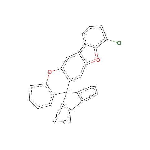 Clc1cccc2c1oc1cc3c(cc12)Oc1ccccc1C31c2ccccc2-c2ccccc21